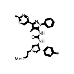 COCCN1C[C@@H](NC(=O)Nc2c(C)c(-c3cnc(C)nc3)nn2-c2ccccc2)[C@H](c2ccc(F)cc2)C1